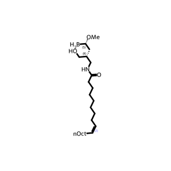 B[C@@H](C[C@@H](CO)CNC(=O)CCCCCCC/C=C\CCCCCCCC)OC